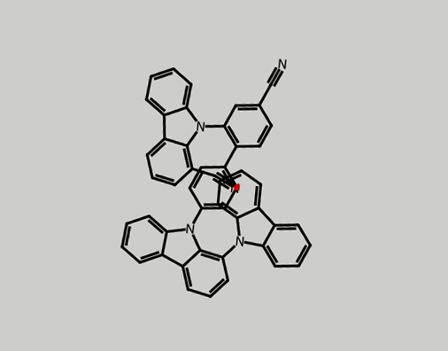 N#Cc1ccc(-c2ccc(-n3c4ccccc4c4cccc(-n5c6ccccc6c6ccccc65)c43)cc2)c(-n2c3ccccc3c3cccc(C#N)c32)c1